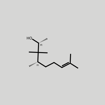 CC(C)=CCC[C@H](C)C(C)(C)[C@@H](C)O